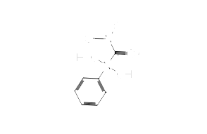 C[N+](C)(C(=O)N(Cl)Cl)c1ccccc1